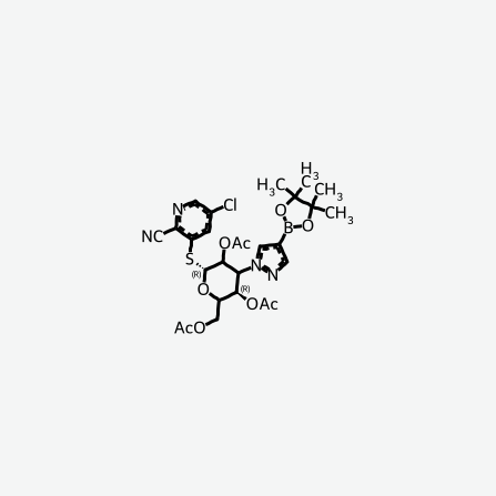 CC(=O)OCC1O[C@H](Sc2cc(Cl)cnc2C#N)C(OC(C)=O)C(n2cc(B3OC(C)(C)C(C)(C)O3)cn2)[C@H]1OC(C)=O